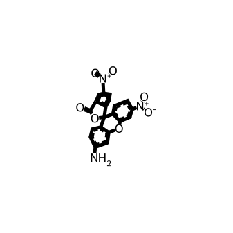 Nc1ccc2c(c1)Oc1cc([N+](=O)[O-])ccc1C21OC(=O)c2cc([N+](=O)[O-])ccc21